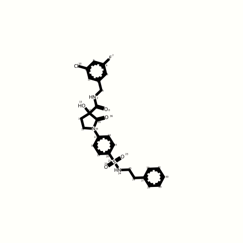 O=C(NCc1cc(F)cc(Cl)c1)C1(O)CCN(c2ccc(S(=O)(=O)NCCc3ccccc3)cc2)C1=O